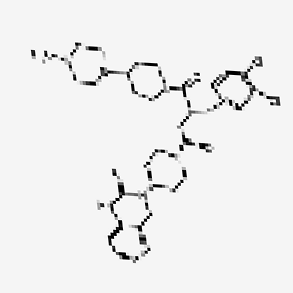 CN1CCN(C2CCN(C(=O)C(CC(=O)N3CCC(N4Cc5ccccc5NC4=O)CC3)Cc3ccc(Cl)c(Cl)c3)CC2)CC1